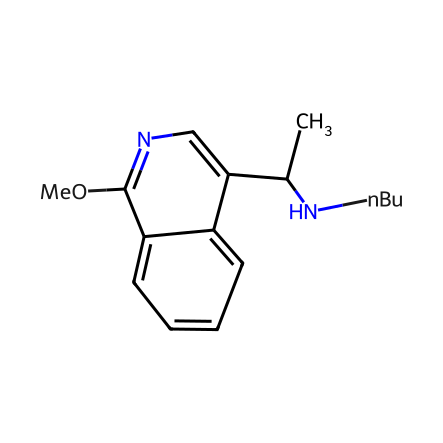 CCCCNC(C)c1cnc(OC)c2ccccc12